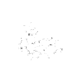 C=C(NS(=O)(=O)C(C)C)c1c(-c2ccc[nH]c2=O)c2c3c(c(F)cc2n1Cc1csc(C(N)=O)c1)CCO3